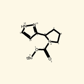 CC(C)(C)OC(=O)N1CCCC1c1cc[nH]n1